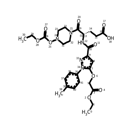 CCOC(=O)COc1cc(C(=O)N[C@@H](CCC(=O)O)C(=O)N2CCN(OC(=O)OCC)CC2)nn1-c1ccc(C)cc1